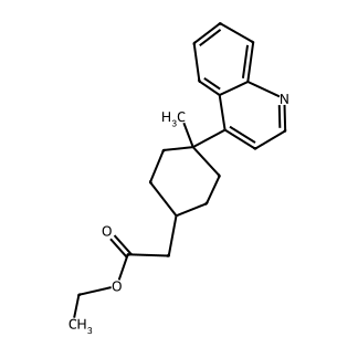 CCOC(=O)CC1CCC(C)(c2ccnc3ccccc23)CC1